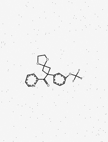 O=C(c1ccccn1)C1(c2cccc(OC(F)(F)F)c2)CC2(C1)OCCO2